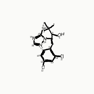 CC(C)(C)C(O)/C(=C/c1ccc(Cl)cc1Cl)n1ncnc1S